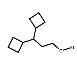 CCOCCC(C1CCC1)C1CCC1